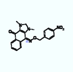 CN1CN(C)C2=C1C(=O)c1ccccc1/C2=N/OCc1ccc([N+](=O)[O-])cc1